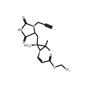 C#CCN1C(=O)NC(=O)C1C[C@@]1(C(=O)O)[C@H](/C=C\C(=O)OCC(F)(F)F)C1(C)C